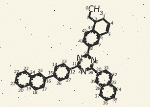 CCC1CC=Cc2cc(-c3nc(-c4ccc(-c5ccc6ccccc6c5)cc4)nc(-c4ccc5ccccc5c4)n3)ccc21